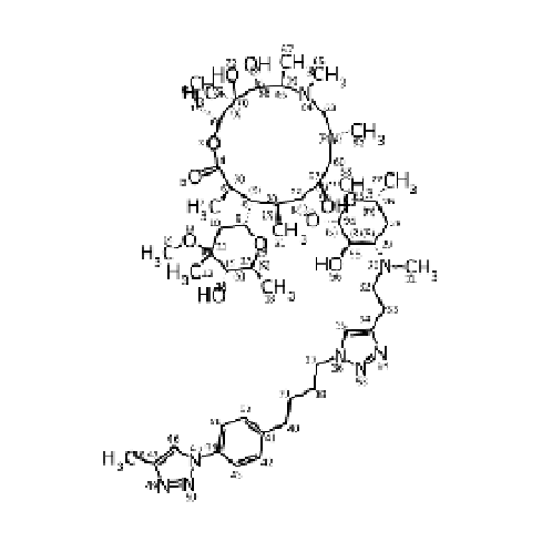 CC[C@H]1OC(=O)[C@H](C)[C@@H](C2C[C@@](C)(OC)[C@@H](O)[C@H](C)O2)[C@H](C)[C@@H](O[C@@H]2O[C@H](C)C[C@H](N(C)CCc3cn(CCCCc4ccc(-n5cc(C)nn5)cc4)nn3)[C@H]2O)[C@](C)(O)C[C@@H](C)CN(C)[C@H](C)[C@@H](O)[C@]1(C)O